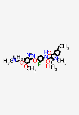 CCc1ccc2c(c1)c(=O)c(C(O)Nc1ccc(Oc3ncnc4cc(OCCN(C)C)c(OC)cc34)c(F)c1)c(C)n2C